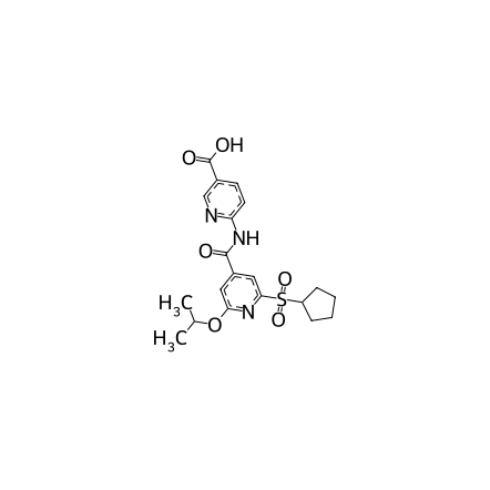 CC(C)Oc1cc(C(=O)Nc2ccc(C(=O)O)cn2)cc(S(=O)(=O)C2CCCC2)n1